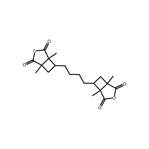 CC12CC(CCCCC3CC4(C)C(=O)OC(=O)C34C)C1(C)C(=O)OC2=O